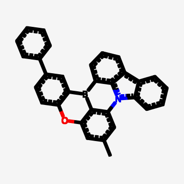 Cc1cc2c3c(c1)-n1c4ccccc4c4cccc(c41)B3c1cc(-c3ccccc3)ccc1O2